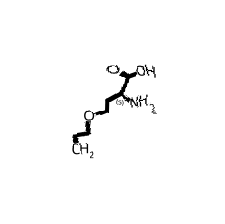 C=CCOCC[C@H](N)C(=O)O